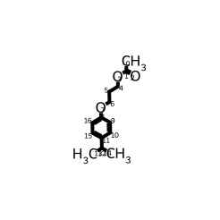 CC(=O)OCCCOc1ccc(C(C)C)cc1